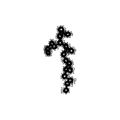 c1ccc(-c2ccc3c(-c4cccc(-c5ccc6c7c(cccc57)-c5ccc7cc(-c8cccc(-n9c%10ccccc%10c%10ccc(-c%11cc(-c%12ccc%13c%14ccccc%14n(-c%14ccccc%14)c%13c%12)cc(-c%12ccc%13c%14c(cccc%12%14)-c%12ccc%14ccccc%14c%12-%13)c%11)cc%109)c8)ccc7c5-6)c4)cccc3c2)cc1